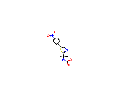 CC(C)(NC(=O)O)c1ncc(-c2ccc([N+](=O)[O-])cc2)s1